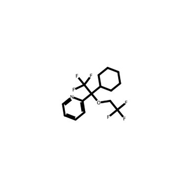 FC(F)(F)COC(c1ccccn1)(C1CCCCC1)C(F)(F)F